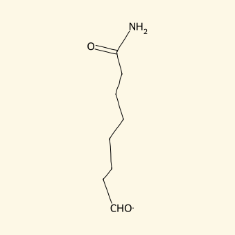 NC(=O)CCCCCC[C]=O